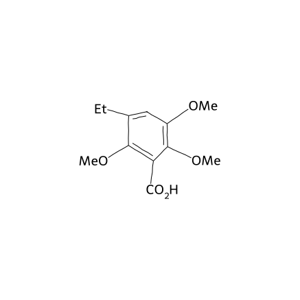 CCc1cc(OC)c(OC)c(C(=O)O)c1OC